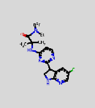 CCCN(CC)C(=O)C(C)(C)Nc1ccnc(C2CNc3ncc(Cl)cc32)n1